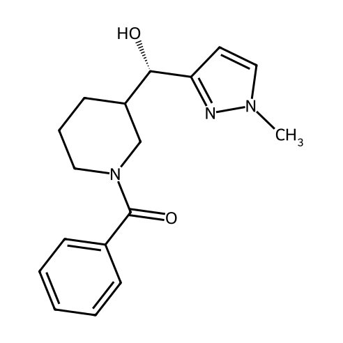 Cn1ccc([C@@H](O)C2CCCN(C(=O)c3ccccc3)C2)n1